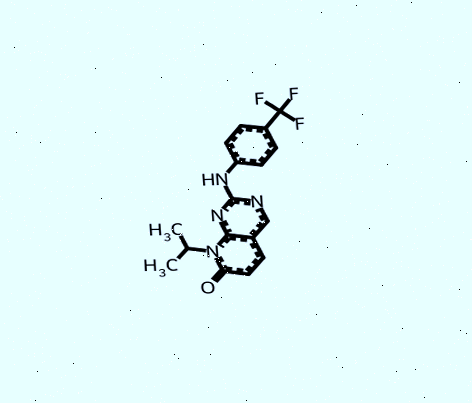 CC(C)n1c(=O)ccc2cnc(Nc3ccc(C(F)(F)F)cc3)nc21